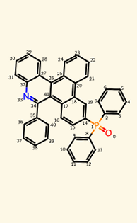 O=P(c1ccccc1)(c1ccccc1)c1ccc2c(c1)c1ccccc1c1c3ccccc3nc(-c3ccccc3)c21